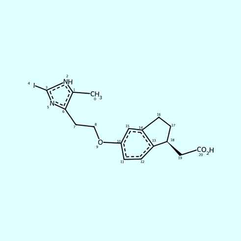 Cc1[nH]c(I)nc1CCOc1ccc2c(c1)CC[C@H]2CC(=O)O